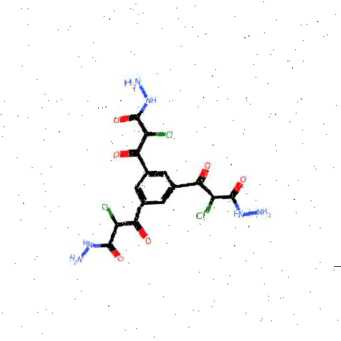 NNC(=O)C(Cl)C(=O)c1cc(C(=O)C(Cl)C(=O)NN)cc(C(=O)C(Cl)C(=O)NN)c1